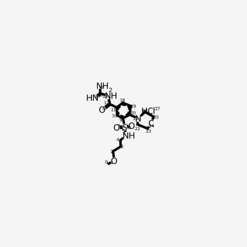 COCCCNS(=O)(=O)c1cc(C(=O)NC(=N)N)ccc1N1CCCCC1.Cl